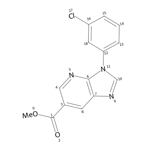 COC(=O)c1cnc2c(c1)ncn2-c1cccc(Cl)c1